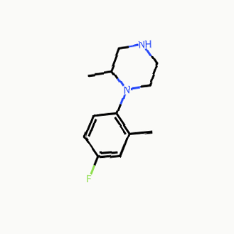 Cc1cc(F)ccc1N1CCNCC1C